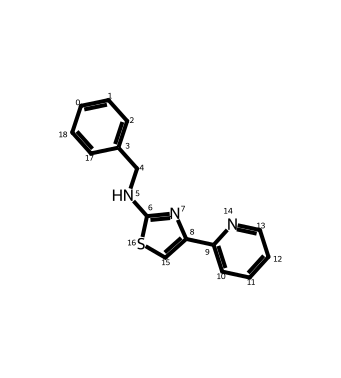 c1ccc(CNc2nc(-c3ccccn3)cs2)cc1